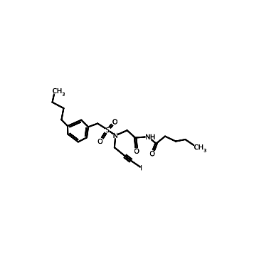 CCCCC(=O)NC(=O)CN(CC#CI)S(=O)(=O)Cc1cccc(CCCC)c1